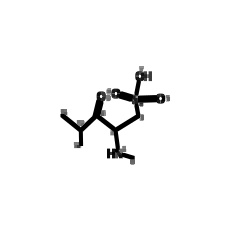 CNC(CS(=O)(=O)O)C(=O)C(C)C